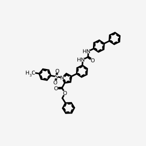 Cc1ccc(S(=O)(=O)n2cc(-c3cccc(NC(=O)Nc4ccc(-c5ccccc5)cc4)c3)cc2C(=O)OCc2ccccc2)cc1